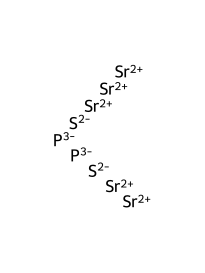 [P-3].[P-3].[S-2].[S-2].[Sr+2].[Sr+2].[Sr+2].[Sr+2].[Sr+2]